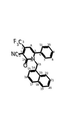 N#Cc1c(C(F)(F)F)cc(-c2ccccc2)n(Cc2cccc3ccccc23)c1=O